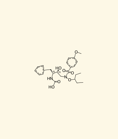 CCC(CC)ON(C[C@H](O)[C@H](Cc1ccccc1)NC(=O)O)S(=O)(=O)c1ccc(OC)cc1